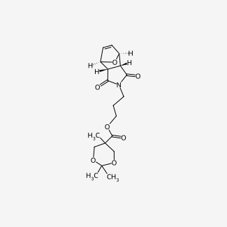 CC1(C)OCC(C)(C(=O)OCCCN2C(=O)[C@@H]3[C@H](C2=O)[C@H]2C=C[C@@H]3O2)CO1